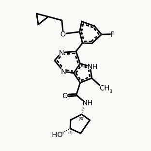 Cc1[nH]c2c(-c3cc(F)ccc3OCC3CC3)ncnc2c1C(=O)N[C@@H]1CC[C@H](O)C1